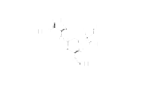 C=C(C)C(=O)OC(COC(C)(C)CC)CC(=O)OC